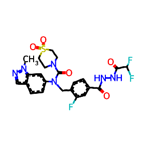 Cn1ncc2ccc(N(Cc3ccc(C(=O)NNC(=O)C(F)F)cc3F)C(=O)N3CCS(=O)(=O)CC3)cc21